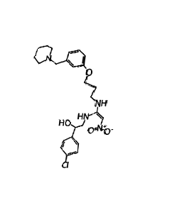 O=[N+]([O-])C=C(NCCCOc1cccc(CN2CCCCC2)c1)NCC(O)c1ccc(Cl)cc1